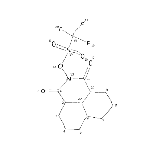 O=C1C2CCCC3CCCC(C(=O)N1OS(=O)(=O)C(F)(F)F)C32